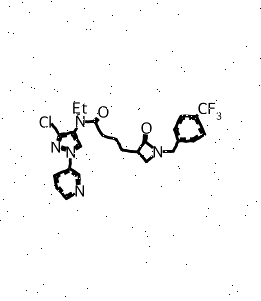 CCN(C(=O)CCCC1CN(Cc2ccc(C(F)(F)F)cc2)C1=O)c1cn(-c2cccnc2)nc1Cl